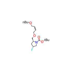 CCCCOC/C=C\COC[C@@H]1C[C@H](F)CN1C(=O)OC(C)(C)C